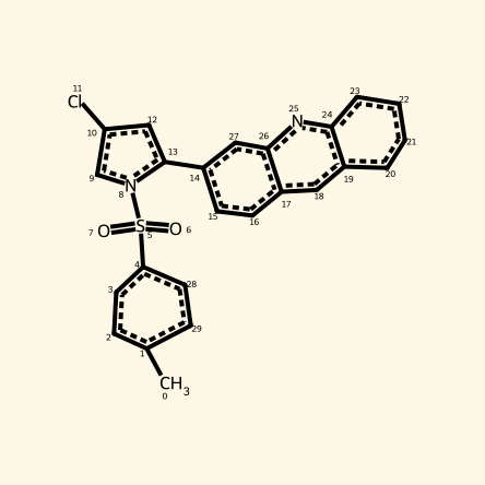 Cc1ccc(S(=O)(=O)n2cc(Cl)cc2-c2ccc3cc4ccccc4nc3c2)cc1